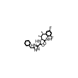 C[C@@H]1[C@H](NC(=O)c2nnc(Cc3ccccc3)[nH]2)C(=O)Nc2c(F)cc(F)cc2[C@@H]1C